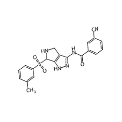 Cc1cccc(S(=O)(=O)C2NCc3c(NC(=O)c4cccc(C#N)c4)n[nH]c32)c1